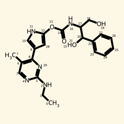 CCNc1ncc(C)c(-c2c[nH]c(OC(=O)NC(CO)C(O)c3ccccc3)c2)n1